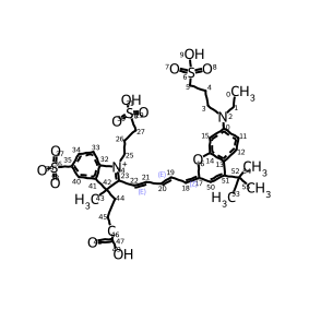 CCN(CCCS(=O)(=O)O)c1ccc2c(c1)O\C(=C/C=C/C=C/C1=[N+](CCCS(=O)(=O)O)c3ccc(S(=O)(=O)[O-])cc3C1(C)CCCC(=O)O)C=C2C(C)(C)C